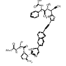 C#CC(c1ncc(C#Cc2ccc3cc(-c4cnc([C@@H]5C(=C)CCN5C(=O)[C@@H](NC(=O)OC)C(C)C)[nH]4)ccc3c2)[nH]1)N(CCC)C(=O)[C@H](NC(=O)OC)c1ccccc1